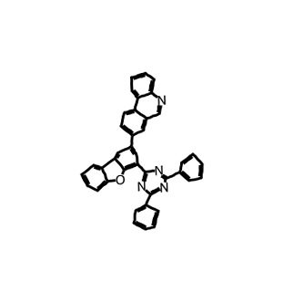 c1ccc(-c2nc(-c3ccccc3)nc(-c3cc(-c4ccc5c(cnc6ccccc65)c4)cc4c3oc3ccccc34)n2)cc1